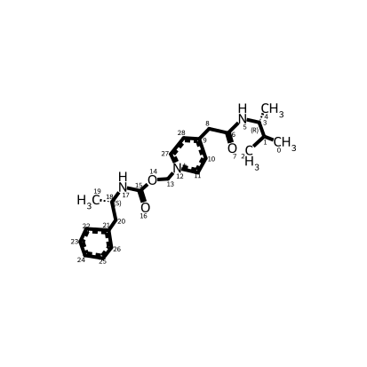 CC(C)[C@@H](C)NC(=O)Cc1cc[n+](COC(=O)N[C@@H](C)Cc2ccccc2)cc1